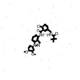 COc1ccc(-n2ncc3c(NC(=O)c4cc(CNC(=O)C(C)(C)C)ccc4Cl)cccc32)cc1OC